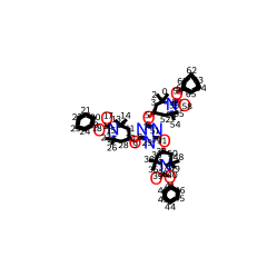 CC1(C)CC(Oc2nc(OC3CC(C)(C)N(C(=O)Oc4ccccc4)C(C)(C)C3)nc(OC3CC(C)(C)N(C(=O)Oc4ccccc4)C(C)(C)C3)n2)CC(C)(C)N1C(=O)Oc1ccccc1